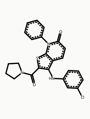 O=C(c1sc2c(ccc(=O)n2-c2ccccc2)c1Nc1cccc(Cl)c1)N1CCCC1